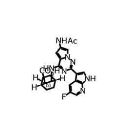 CC(=O)Nc1cc2c(NC3[C@H]4CC[C@H](CC4)[C@@H]3C(=O)O)nc(-c3c[nH]c4ncc(F)cc34)nn2c1